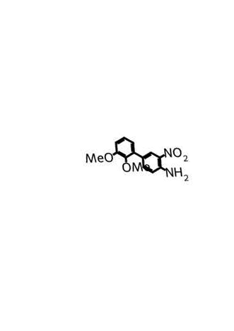 COc1cccc(-c2ccc(N)c([N+](=O)[O-])c2)c1OC